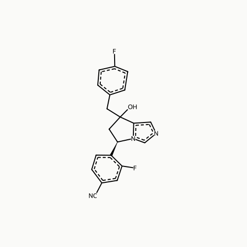 N#Cc1ccc([C@H]2CC(O)(Cc3ccc(F)cc3)c3cncn32)c(F)c1